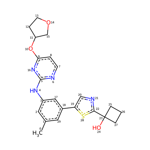 Cc1cc(Nc2nccc(OC3CCOC3)n2)cc(-c2cnc(C3(O)CCC3)s2)c1